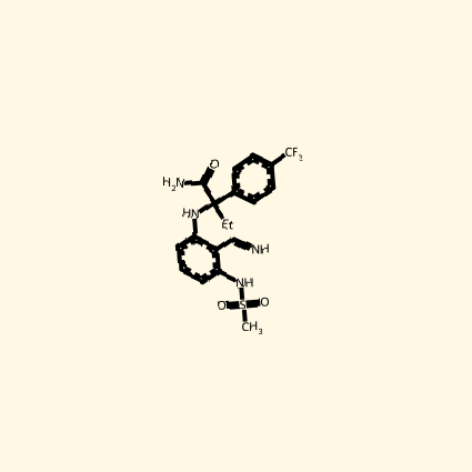 CCC(Nc1cccc(NS(C)(=O)=O)c1C=N)(C(N)=O)c1ccc(C(F)(F)F)cc1